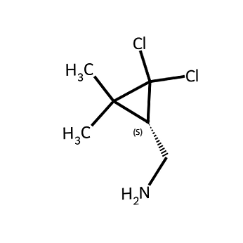 CC1(C)[C@@H](CN)C1(Cl)Cl